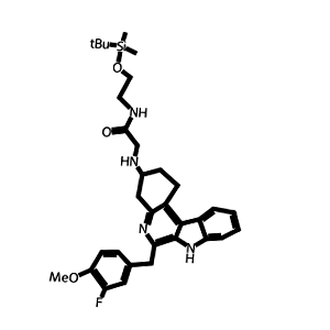 COc1ccc(Cc2nc3c(c4c2[nH]c2ccccc24)CCC(NCC(=O)NCCO[Si](C)(C)C(C)(C)C)C3)cc1F